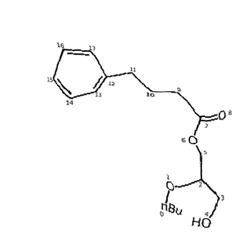 CCCCOC(CO)COC(=O)CCCc1ccccc1